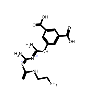 C=C(/N=C(N)\N=C(/N)Nc1cc(C(=O)O)cc(C(=O)O)c1)NCCN